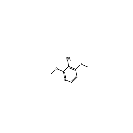 Bc1c(OC)ccnc1OC